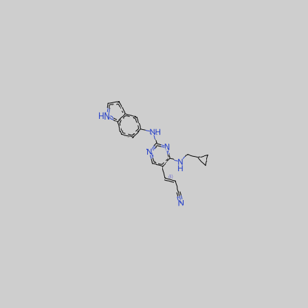 N#C/C=C/c1cnc(Nc2ccc3[nH]ccc3c2)nc1NCC1CC1